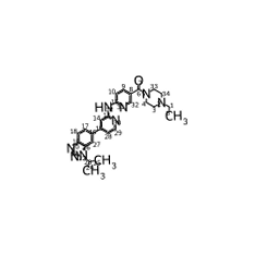 CCN1CCN(C(=O)c2ccc(Nc3cc(-c4ccc5nnn(C(C)C)c5c4)ccn3)nc2)CC1